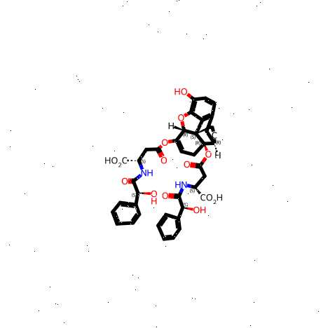 O=C(C[C@H](NC(=O)[C@@H](O)c1ccccc1)C(=O)O)OC1=CC[C@@]2(OC(=O)C[C@H](NC(=O)[C@@H](O)c3ccccc3)C(=O)O)[C@@H]3CCC[C@@]24c2c(ccc(O)c2O[C@@H]14)C3